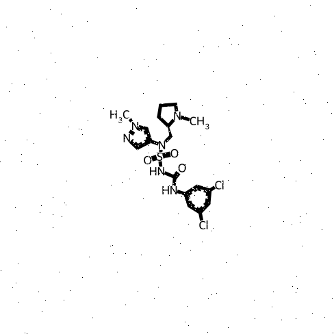 CN1CCC[C@@H]1CN(c1cnn(C)c1)S(=O)(=O)NC(=O)Nc1cc(Cl)cc(Cl)c1